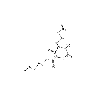 COCCCOC(=O)N(CC(C)C=O)C(=O)OCCCOC